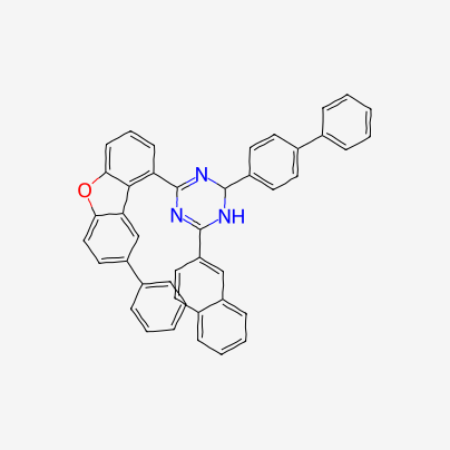 c1ccc(-c2ccc(C3N=C(c4cccc5oc6ccc(-c7ccccc7)cc6c45)N=C(c4ccc5ccccc5c4)N3)cc2)cc1